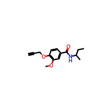 C#CCOc1ccc(C(=O)NC(C)CC)cc1OC